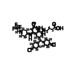 O=C(O)CCCNc1cc(C(c2ccc(Cl)cc2)c2ccc(Cl)cc2)cc2c(NC3CCN(CC(F)(F)F)CC3)cc(=O)[nH]c12